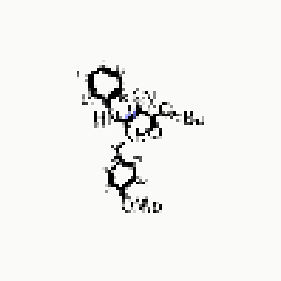 COc1ccc(CN/C(Nc2ccccc2)=C(/C#N)C(=O)OC(C)(C)C)cc1